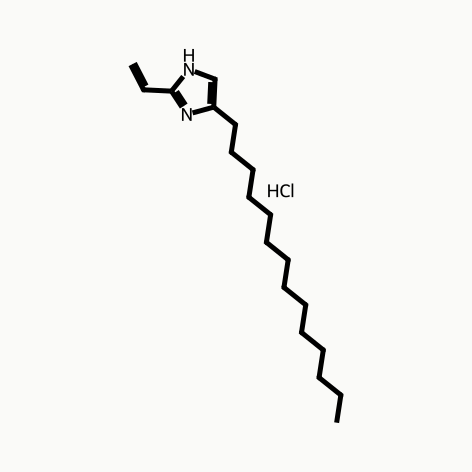 C=Cc1nc(CCCCCCCCCCCCCC)c[nH]1.Cl